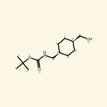 CC(C)(C)OC(=O)NC[C@H]1CC[C@@H](CO)CC1